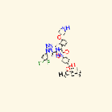 CC(C)(C)OC(=O)c1ccc(NC(=O)C2c3cccc(OC4CCNCC4)c3CCN2C(=O)/C=C/c2c(-n3cnnn3)ccc(Cl)c2F)cc1